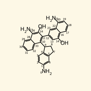 Nc1ccc2c(c1)CCC2c1c(-c2[c]c(O)c3cccc(N)c3c2)c(O)c(N)c2ccccc12